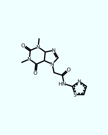 CN1C(=O)C2C(N=CN2CC(=O)Nc2nccs2)N(C)C1=O